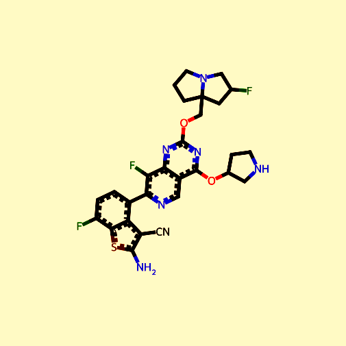 N#Cc1c(N)sc2c(F)ccc(-c3ncc4c(OC5CCNC5)nc(OCC56CCCN5CC(F)C6)nc4c3F)c12